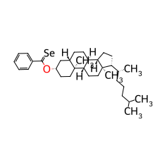 CC(C)CCC[C@@H](C)[C@H]1CC[C@H]2[C@@H]3CC[C@H]4C[C@@H](OC(=[Se])c5ccccc5)CC[C@]4(C)[C@H]3CC[C@]12C